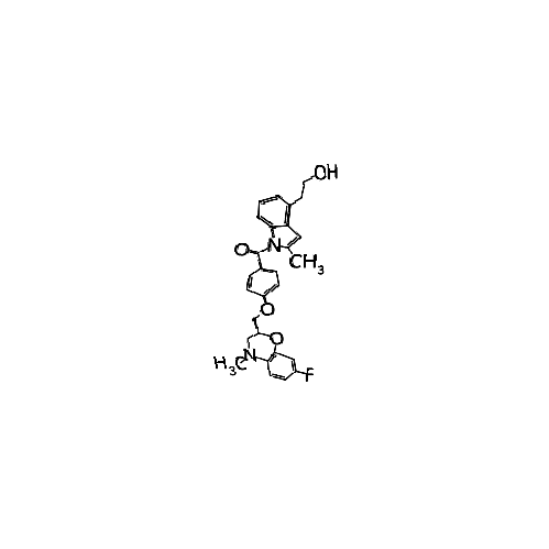 Cc1cc2c(CCO)cccc2n1C(=O)c1ccc(OC[C@@H]2CN(C)c3ccc(F)cc3O2)cc1